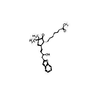 CC(=O)CCCCCC[C@H]1C(=O)C(C)(C)C[C@@H]1/C=C/C(O)Cc1cc2ccccc2s1